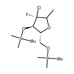 CC(C)(C)[Si](C)(C)OC[C@H]1OC(I)[C@](F)(Cl)[C@@H]1O[Si](C)(C)C(C)(C)C